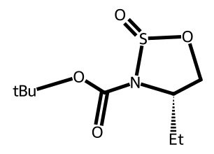 CC[C@H]1COS(=O)N1C(=O)OC(C)(C)C